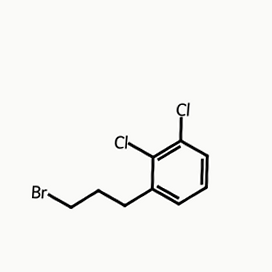 Clc1cccc(CCCBr)c1Cl